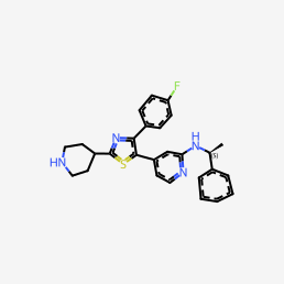 C[C@H](Nc1cc(-c2sc(C3CCNCC3)nc2-c2ccc(F)cc2)ccn1)c1ccccc1